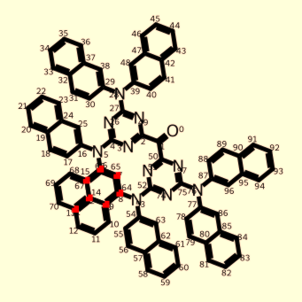 O=C(c1nc(N(c2ccc3ccccc3c2)c2ccc3ccccc3c2)nc(N(c2ccc3ccccc3c2)c2ccc3ccccc3c2)n1)c1nc(N(c2ccc3ccccc3c2)c2ccc3ccccc3c2)nc(N(c2ccc3ccccc3c2)c2ccc3ccccc3c2)n1